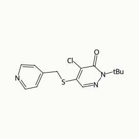 CC(C)(C)n1ncc(SCc2ccncc2)c(Cl)c1=O